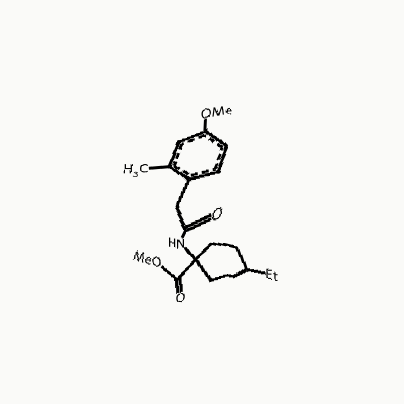 CCC1CCC(NC(=O)Cc2ccc(OC)cc2C)(C(=O)OC)CC1